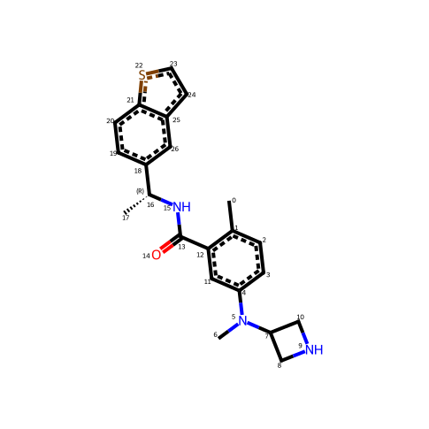 Cc1ccc(N(C)C2CNC2)cc1C(=O)N[C@H](C)c1ccc2sccc2c1